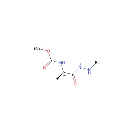 CCNNC(=O)[C@@H](C)NC(=O)OC(C)(C)C